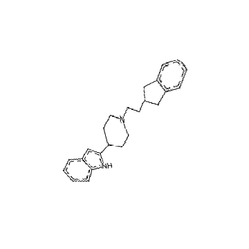 c1ccc2c(c1)CC(CCN1CCC(c3cc4ccccc4[nH]3)CC1)C2